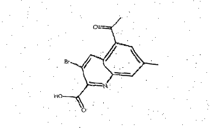 CC(=O)c1cc(C)cc2nc(C(=O)O)c(Br)cc12